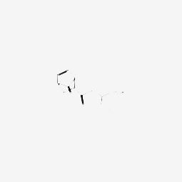 COC(C)OC(=O)C1CC2C=CC1C2=O